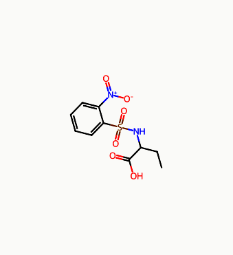 CCC(NS(=O)(=O)c1ccccc1[N+](=O)[O-])C(=O)O